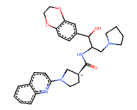 O=C(NC(CN1CCCC1)C(O)c1ccc2c(c1)OCCO2)[C@H]1CCN(c2ccc3ccccc3n2)C1